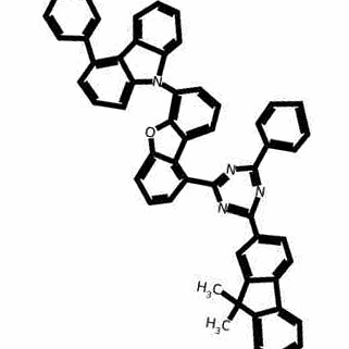 CC1(C)c2ccccc2-c2ccc(-c3nc(-c4ccccc4)nc(-c4cccc5oc6c(-n7c8ccccc8c8c(-c9ccccc9)cccc87)cccc6c45)n3)cc21